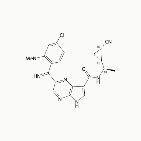 CNc1cc(Cl)ccc1C(=N)c1cnc2[nH]cc(C(=O)N[C@H](C)[C@@H]3C[C@@H]3C#N)c2n1